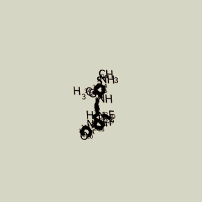 CNSc1ccc(NCC#CC2Cc3c(NC4CCOCC4)cccc3N2CC(F)(F)F)c(OC)c1